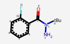 CC(C)(C)N(N)C(=O)c1ccccc1F